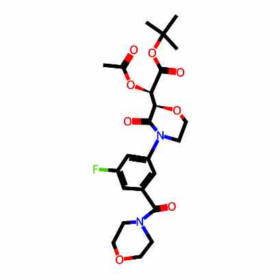 CC(=O)O[C@@H](C(=O)OC(C)(C)C)[C@H]1OCCN(c2cc(F)cc(C(=O)N3CCOCC3)c2)C1=O